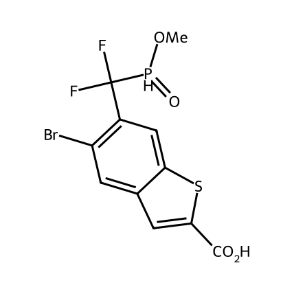 CO[PH](=O)C(F)(F)c1cc2sc(C(=O)O)cc2cc1Br